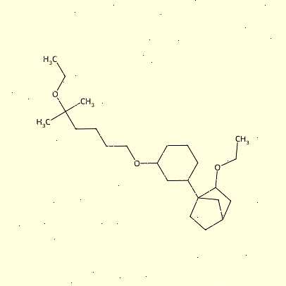 CCOC1CC2CCC1(C1CCCC(OCCCCC(C)(C)OCC)C1)C2